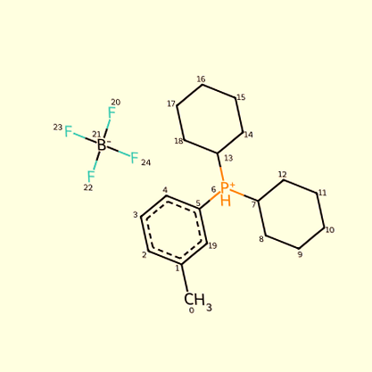 Cc1cccc([PH+](C2CCCCC2)C2CCCCC2)c1.F[B-](F)(F)F